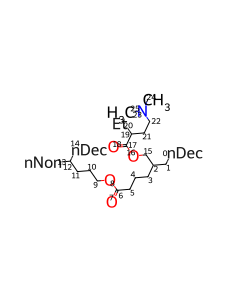 CCCCCCCCCCCC(CCCC(=O)OCCCC(CCCCCCCCC)CCCCCCCCCC)COC(=O)C(CC)CCN(C)C